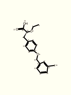 CCO[C@@H](Cc1ccc(OCc2cccc(I)c2)cc1)C(=O)O